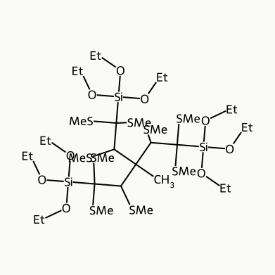 CCO[Si](OCC)(OCC)C(SC)(SC)C(SC)C(C)(C(SC)C(SC)(SC)[Si](OCC)(OCC)OCC)C(SC)C(SC)(SC)[Si](OCC)(OCC)OCC